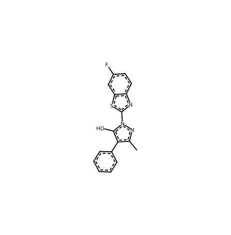 Cc1nn(-c2nc3ccc(F)cc3s2)c(O)c1-c1ccccc1